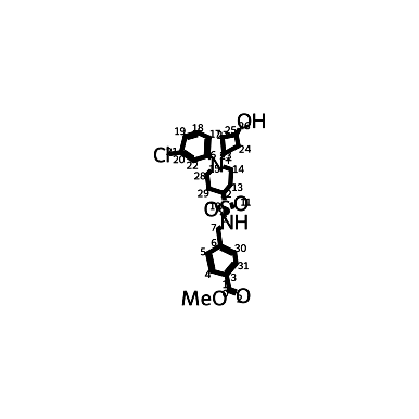 COC(=O)c1ccc(CNS(=O)(=O)C2CC[N+](c3cccc(Cl)c3)(C3CC(O)C3)CC2)cc1